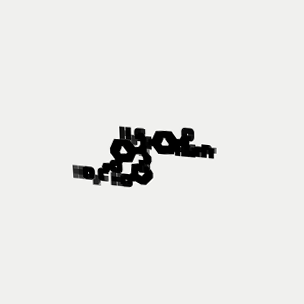 CCCNC(=O)c1ccc(N(C)[C@@H](CN2CCC(O)C2)c2cccc(OCC(=O)O)c2)cc1